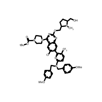 COc1ccc(CN(Cc2ccc(OC)cc2)c2ccc(C(F)(F)F)c(-c3cc4nc(OCC5CCC(CO)N5C)nc(N5CCN(C(=O)OC(C)(C)C)CC5)c4cc3Cl)n2)cc1